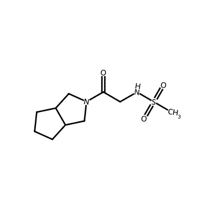 CS(=O)(=O)NCC(=O)N1CC2CCCC2C1